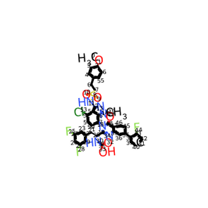 COc1ccc(CCS(=O)(=O)Nc2nn(C)c3c(-n4c([C@H](Cc5cc(F)cc(F)c5)NC(=O)O)nc5cc(-c6ccccc6F)ccc5c4=O)ccc(Cl)c23)cc1